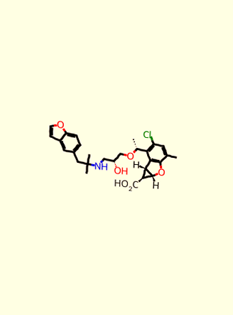 Cc1cc(Cl)c([C@@H](C)OC[C@H](O)CNC(C)(C)Cc2ccc3occc3c2)c2c1O[C@@H]1[C@@H](C(=O)O)[C@H]21